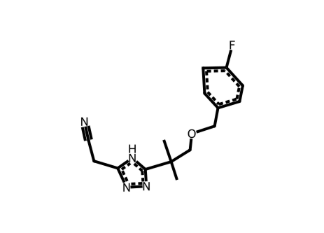 CC(C)(COCc1ccc(F)cc1)c1nnc(CC#N)[nH]1